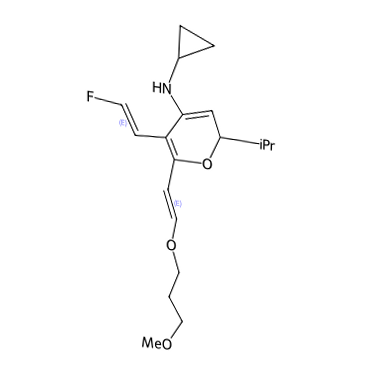 COCCCO/C=C/C1=C(/C=C/F)C(NC2CC2)=CC(C(C)C)O1